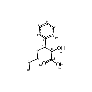 CCCCC(c1ccccn1)C(O)C(=O)O